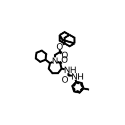 Cc1cccc(NC(=O)NC2CCCC(C3CCCCC3)N(CC(=O)OC34CC5CC(CC(C5)C3)C4)C2=O)c1